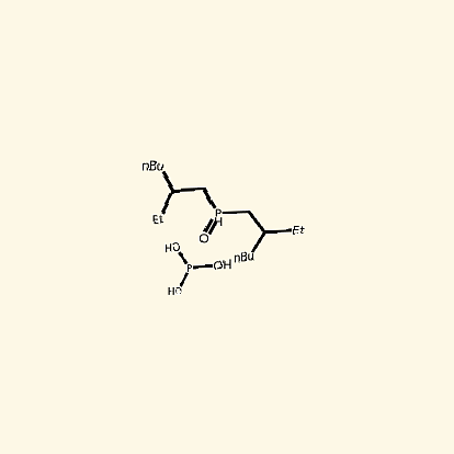 CCCCC(CC)C[PH](=O)CC(CC)CCCC.OP(O)O